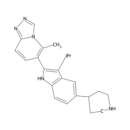 Cc1c(-c2[nH]c3ccc(C4CCNCC4)cc3c2C(C)C)ccc2nncn12